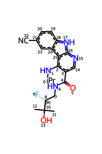 CC(C)Nc1c(C(=O)NC[C@@H](F)C(C)(C)O)cnc2[nH]c3ccc(C#N)cc3c12